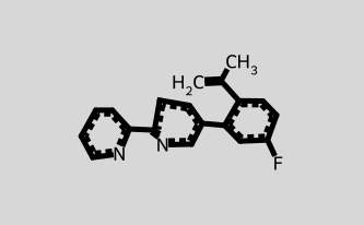 C=C(C)c1ccc(F)cc1-c1ccc(-c2ccccn2)nc1